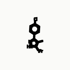 Cc1c(-c2ccc(Cl)cc2)n[nH]c1C(C)C